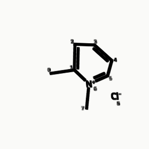 Cc1cccc[n+]1C.[Cl-]